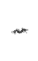 CN(c1ccc(Oc2ccc3c(c2)cc(C(=O)N2CCNCC2)n3C)nc1)c1ccc(Cl)c(Cl)c1